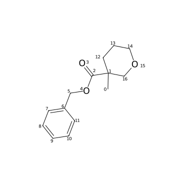 CC1(C(=O)OCc2ccccc2)CCCOC1